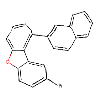 CC(C)c1ccc2oc3cccc(-c4ccc5ccccc5c4)c3c2c1